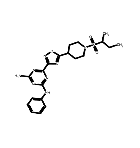 CCC(C)S(=O)(=O)N1CCC(c2nc(-c3nc(N)nc(Nc4ccccc4)n3)no2)CC1